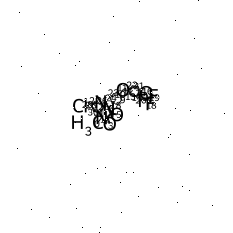 Cn1c(=O)c(=O)n(C2CCC(Oc3ccc(OC(F)(F)F)cc3)CC2)c2ncc(Cl)cc21